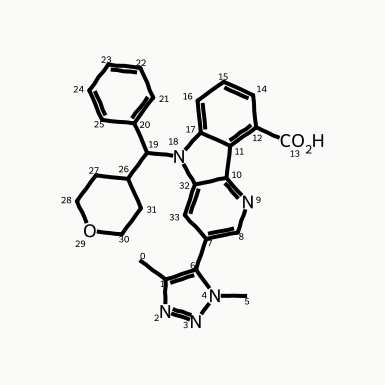 Cc1nnn(C)c1-c1cnc2c3c(C(=O)O)cccc3n(C(c3ccccc3)C3CCOCC3)c2c1